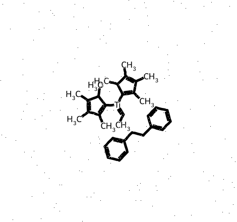 C[CH]=[Ti]([C]1=C(C)C(C)=C(C)C1C)[C]1=C(C)C(C)=C(C)C1C.c1ccc(CCc2ccccc2)cc1